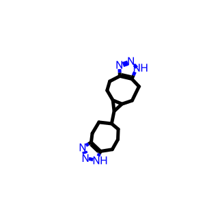 C1Cc2[nH]nnc2CCC(C2C3CCc4nn[nH]c4CCC32)C1